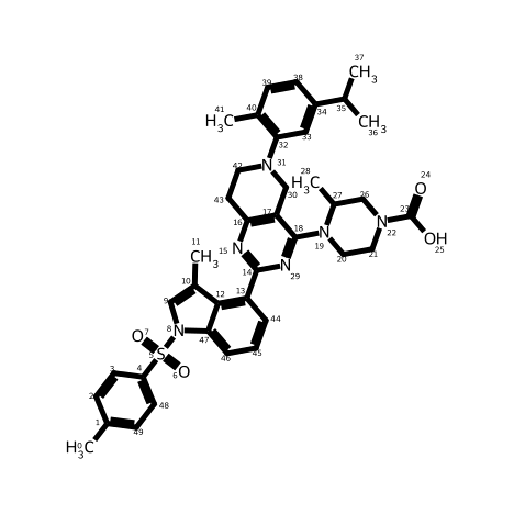 Cc1ccc(S(=O)(=O)n2cc(C)c3c(-c4nc5c(c(N6CCN(C(=O)O)CC6C)n4)CN(c4cc(C(C)C)ccc4C)CC5)cccc32)cc1